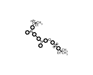 CCCC(C)(CC)Oc1ccc(N(c2ccccc2)c2ccc(-c3ccc(N(c4ccccc4)c4ccc(Oc5ccc(S(=O)(=O)c6ccc(C(C)(C)CC)cc6)cc5)cc4)cc3)cc2)cc1